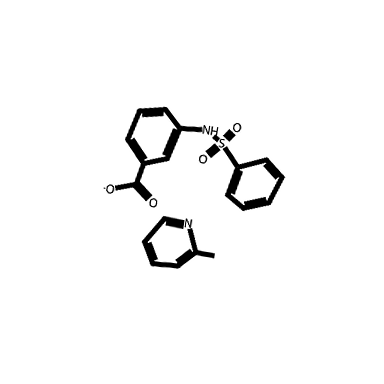 Cc1ccccn1.[O]C(=O)c1cccc(NS(=O)(=O)c2ccccc2)c1